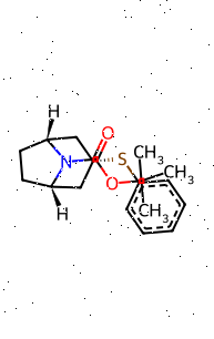 CC(C)(C)OC(=O)N1[C@@H]2CC[C@H]1C[C@@H](Sc1ccccc1)C2